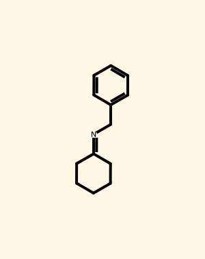 c1ccc(CN=C2CCCCC2)cc1